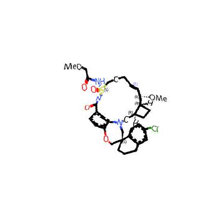 COCC(=O)N[S@]1(=O)=NC(=O)c2ccc3c(c2)N(C[C@@H]2CC[C@H]2[C@@H](OC)/C=C/CCC1)C[C@@]1(CCCc2cc(Cl)ccc21)CO3